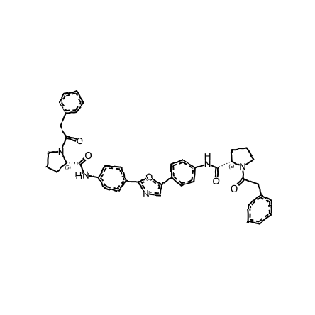 O=C(Nc1ccc(-c2cnc(-c3ccc(NC(=O)[C@@H]4CCCN4C(=O)Cc4ccccc4)cc3)o2)cc1)[C@@H]1CCCN1C(=O)Cc1ccccc1